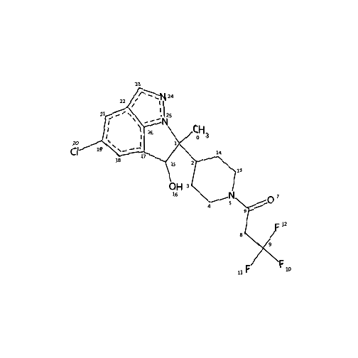 CC1(C2CCN(C(=O)CC(F)(F)F)CC2)C(O)c2cc(Cl)cc3cnn1c23